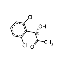 CC(=O)[C@@H](O)c1c(Cl)cccc1Cl